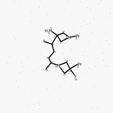 CC(C)N1CC(N)(C(C)CCC(C)N2CC(F)(C(C)C)C2)C1